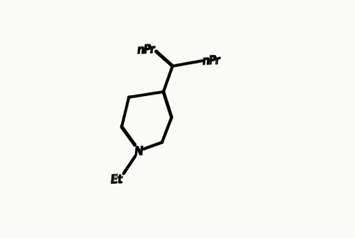 CCCC(CCC)C1CCN(CC)CC1